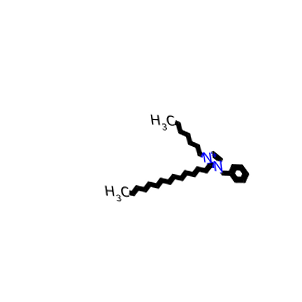 CCCCCCCCCCCCCCc1n(Cc2ccccc2)cc[n+]1CCCCCCC